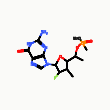 COP(C)(=O)OC(C)C1OC(n2cnc3c(=O)[nH]c(N)nc32)C(F)C1C